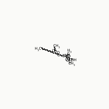 CCCCCCCCCCC[C@H](CC(=O)OCCSC[C@H](NC(C)=O)C(=O)N[C@@H](CO)C(=O)OC)OC(=O)CCC